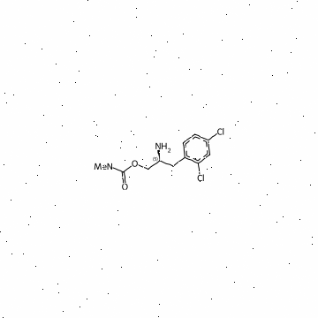 CNC(=O)OC[C@@H](N)Cc1ccc(Cl)cc1Cl